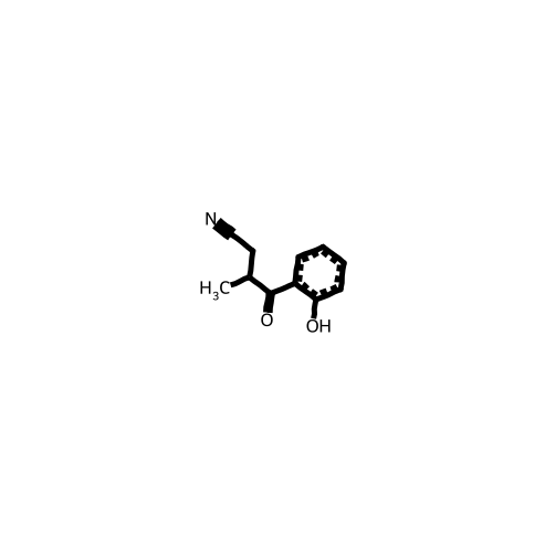 CC(CC#N)C(=O)c1ccccc1O